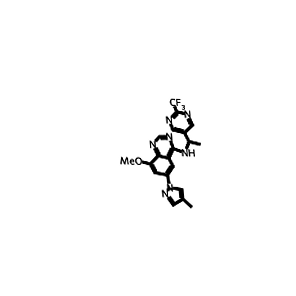 COc1cc(-n2cc(C)cn2)cc2c(NC(C)c3cnc(C(F)(F)F)nc3)ncnc12